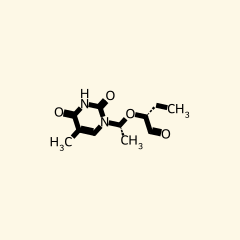 CC[C@H](C=O)O[C@H](C)n1cc(C)c(=O)[nH]c1=O